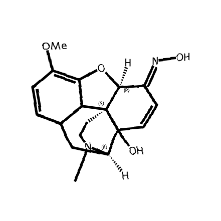 COC1=C2O[C@H]3C(=NO)C=CC4(O)[C@H]5CC(C=C1)C2[C@@]34CCN5C